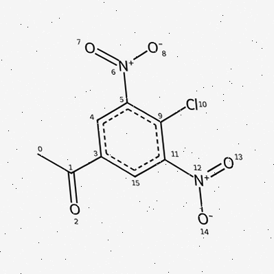 CC(=O)c1cc([N+](=O)[O-])c(Cl)c([N+](=O)[O-])c1